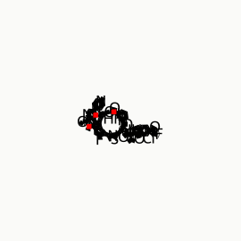 CCn1c(-c2cc(N3CCN(C)CC3)cnc2[C@H](C)OC)c2c3cc(c(F)cc31)-c1csc(n1)C[C@H](NC(=O)[C@H](C(C)C)N1CCC3(CCN(C(=O)[C@H](F)Cl)CC3)C1=O)C(=O)N1CCC[C@H](N1)C(=O)OCC(C)(C)C2